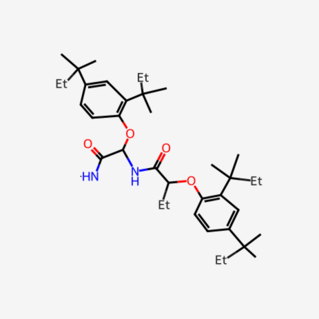 CCC(Oc1ccc(C(C)(C)CC)cc1C(C)(C)CC)C(=O)NC(Oc1ccc(C(C)(C)CC)cc1C(C)(C)CC)C([NH])=O